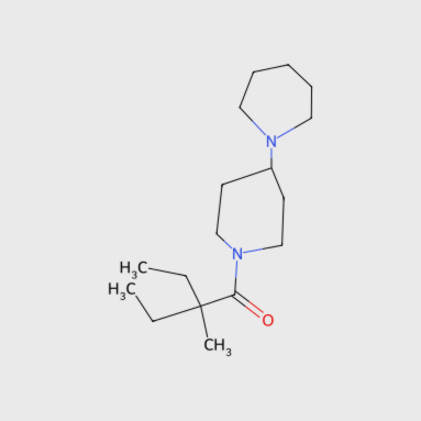 CCC(C)(CC)C(=O)N1CCC(N2CCCCC2)CC1